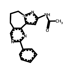 CC(=O)Nc1cc2n(n1)CCCc1cnc(-c3ccccc3)nc1-2